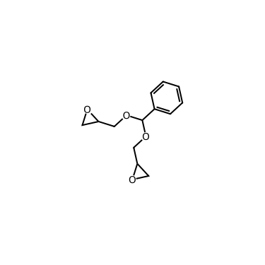 c1ccc(C(OCC2CO2)OCC2CO2)cc1